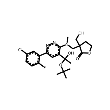 CN(CC1(CO)CCOC1=O)c1nnc(-c2cc(Cl)ccc2F)cc1C(C)(O)OC(C)(C)C